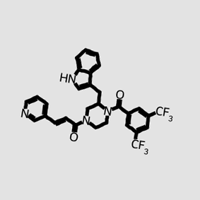 O=C(/C=C/c1cccnc1)N1CCN(C(=O)c2cc(C(F)(F)F)cc(C(F)(F)F)c2)C(Cc2c[nH]c3ccccc23)C1